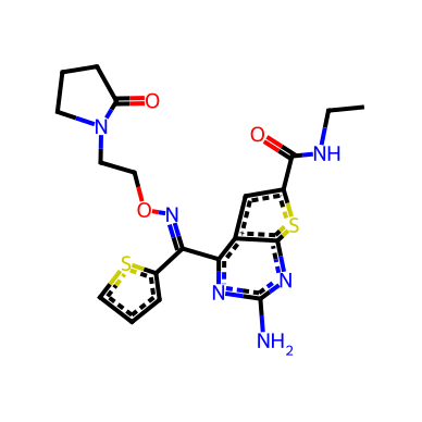 CCNC(=O)c1cc2c(C(=NOCCN3CCCC3=O)c3cccs3)nc(N)nc2s1